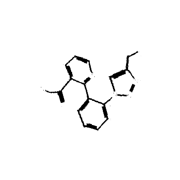 NC(=O)c1cccnc1-c1ccccc1-n1cc(CCl)nn1